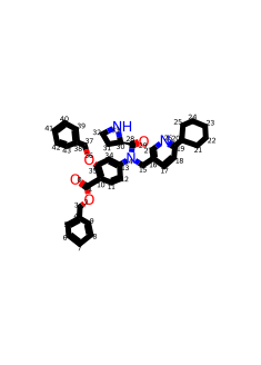 O=C(OCc1ccccc1)c1ccc(N(Cc2ccc(C3CCCCC3)nc2)C(=O)[C@H]2CCN2)cc1OCc1ccccc1